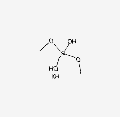 CO[Si](O)(O)OC.[KH]